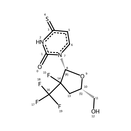 O=c1[nH]c(=S)ccn1[C@@H]1O[C@H](CO)CC1(F)C(F)(F)F